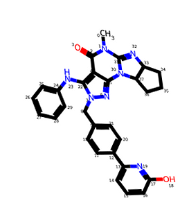 CN1C(=O)c2c(nn(Cc3ccc(-c4cccc(O)n4)cc3)c2Nc2ccccc2)N2C1=NC1CCCC12